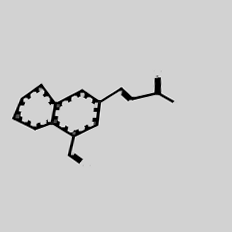 O=Cc1cc(/C=C/C(=O)O)cc2ccccc12